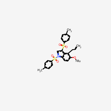 C=CCc1c(OCCCC)ccc2c1c(S(=O)(=O)c1ccc(C)cc1)cn2S(=O)(=O)c1ccc(C)cc1